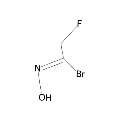 ON=C(Br)CF